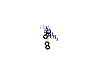 CN1CC[C@H]2[C@H](C1)c1cccc(Sc3ccc4ccccc4c3)c1N2C